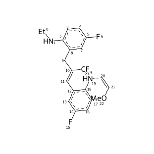 CCNc1ccc(F)cc1C/C(=C/c1cc(F)ccc1N/C=C\OC)C(F)(F)F